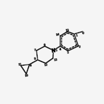 Cc1ccc(N2CCC(C3CC3)CC2)cc1